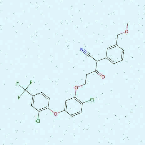 COCc1cccc(C(C#N)C(=O)CCOc2cc(Oc3ccc(C(F)(F)F)cc3Cl)ccc2Cl)c1